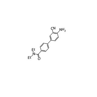 CCN(CC)C(=O)c1ccc(-c2ccc(N)c(C#N)c2)cc1